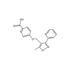 Cc1onc(-c2ccccn2)c1COc1ccc(C(=O)O)nc1